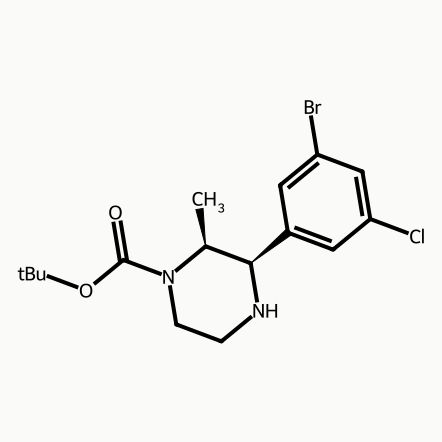 C[C@H]1[C@@H](c2cc(Cl)cc(Br)c2)NCCN1C(=O)OC(C)(C)C